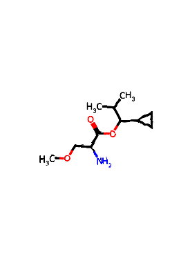 COC[C@H](N)C(=O)OC(C(C)C)C1CC1